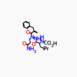 C=C(Cc1ccccc1)C(=O)N(CCC(N)=O)NC(=O)C(CC(C)C)NC(=O)O